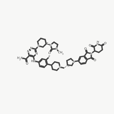 CN1CCN([C@@H]2CCCN(c3nnc(C(N)=O)c(Nc4ccc(C5CCN(C[C@@H]6CCN(c7ccc8c(c7)C(=O)N(C7CCC(=O)NC7=O)C8=O)C6)CC5)c(F)c4)n3)C2)C1=O